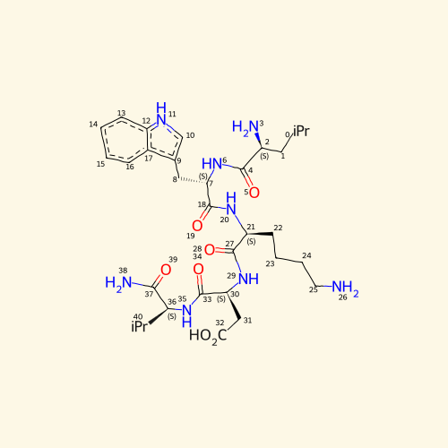 CC(C)C[C@H](N)C(=O)N[C@@H](Cc1c[nH]c2ccccc12)C(=O)N[C@@H](CCCCN)C(=O)N[C@@H](CC(=O)O)C(=O)N[C@H](C(N)=O)C(C)C